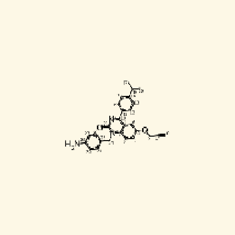 C#CCOc1ccc2c(c1)c(-c1ccc(C(C)C)cc1)nc(=O)n2Cc1ccc(N)cc1